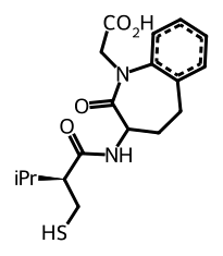 CC(C)[C@H](CS)C(=O)NC1CCc2ccccc2N(CC(=O)O)C1=O